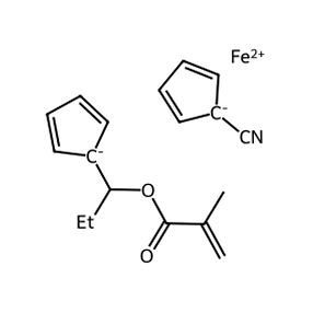 C=C(C)C(=O)OC(CC)[c-]1cccc1.N#C[c-]1cccc1.[Fe+2]